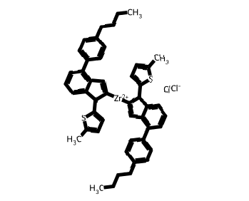 CCCCc1ccc(-c2cccc3c2C=[C]([Zr+2][C]2=Cc4c(-c5ccc(CCCC)cc5)cccc4C2c2ccc(C)s2)C3c2ccc(C)s2)cc1.[Cl-].[Cl-]